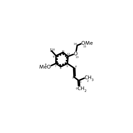 C=C(C)C=Cc1cc(OC)c(I)cc1OCOC